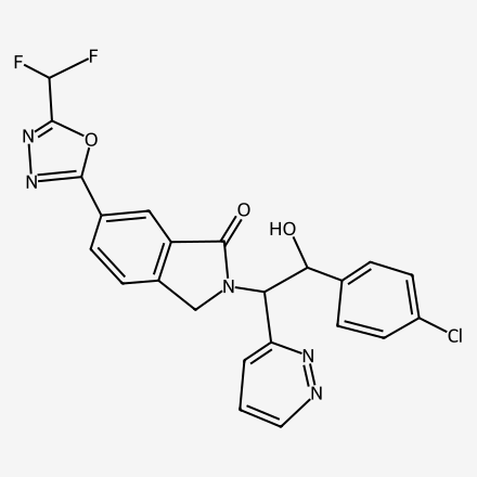 O=C1c2cc(-c3nnc(C(F)F)o3)ccc2CN1C(c1cccnn1)C(O)c1ccc(Cl)cc1